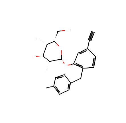 C#Cc1ccc(Cc2ccc(CC)cc2)c(O[C@@H]2O[C@H](CO)[C@@H](O)[C@H](O)[C@H]2O)c1